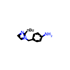 CCCCc1nccn1Cc1ccc(N)cc1